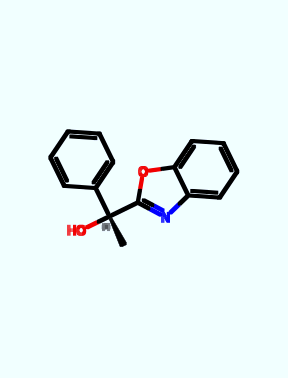 C[C@@](O)(c1ccccc1)c1nc2ccccc2o1